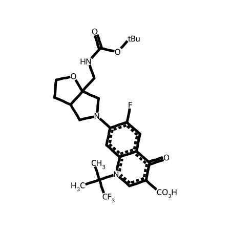 CC(C)(C)OC(=O)NCC12CN(c3cc4c(cc3F)c(=O)c(C(=O)O)cn4C(C)(C)C(F)(F)F)CC1CCO2